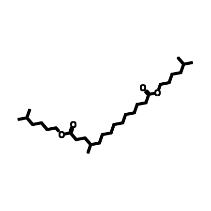 CC(C)CCCCOC(=O)CCCCCCCCCC(C)CCC(=O)OCCCCC(C)C